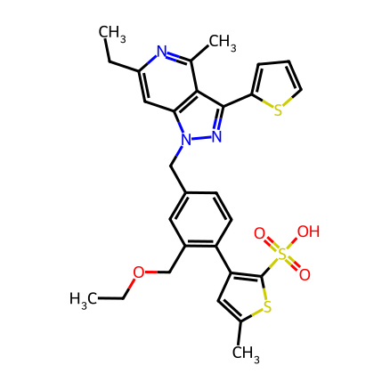 CCOCc1cc(Cn2nc(-c3cccs3)c3c(C)nc(CC)cc32)ccc1-c1cc(C)sc1S(=O)(=O)O